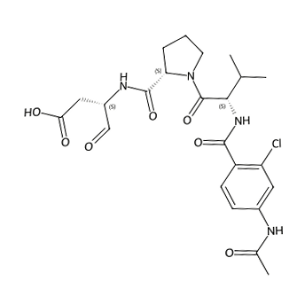 CC(=O)Nc1ccc(C(=O)N[C@H](C(=O)N2CCC[C@H]2C(=O)N[C@H](C=O)CC(=O)O)C(C)C)c(Cl)c1